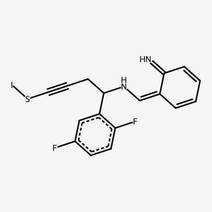 N=C1C=CC=C/C1=C/NC(CC#CSI)c1cc(F)ccc1F